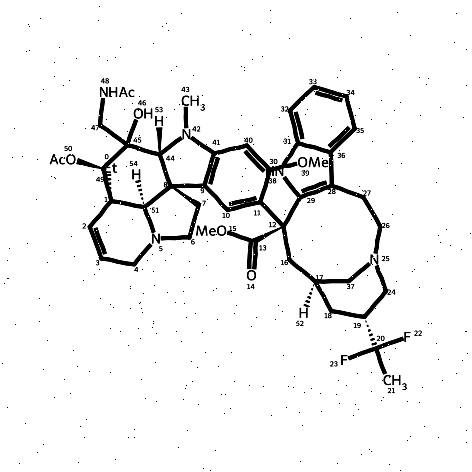 CC[C@]12C=CCN3CC[C@@]4(c5cc([C@@]6(C(=O)OC)C[C@@H]7C[C@@H](C(C)(F)F)CN(CCc8c6[nH]c6ccccc86)C7)c(OC)cc5N(C)[C@H]4C(O)(CNC(C)=O)[C@@H]1OC(C)=O)[C@@H]32